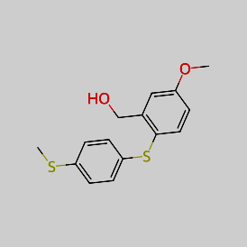 COc1ccc(Sc2ccc(SC)cc2)c(CO)c1